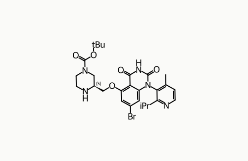 Cc1ccnc(C(C)C)c1-n1c(=O)[nH]c(=O)c2c(OC[C@@H]3CN(C(=O)OC(C)(C)C)CCN3)cc(Br)cc21